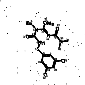 CCC(C)N(C(=O)NSc1cc(Cl)cc(Cl)c1)C(=NC(=O)N(C)C)OC